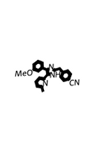 COc1cccc(-c2nc(Cc3ccc(C#N)cc3)[nH]c2-c2cccc(C)n2)c1